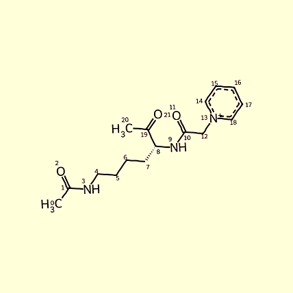 CC(=O)NCCCC[C@@H](NC(=O)C[n+]1ccccc1)C(C)=O